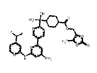 Cc1cc(Nc2cc(C(F)F)ccn2)nc(-c2ccc(C(C)(O)C3CCC(C(=O)OCc4oc(=O)oc4C)CC3)nc2)c1